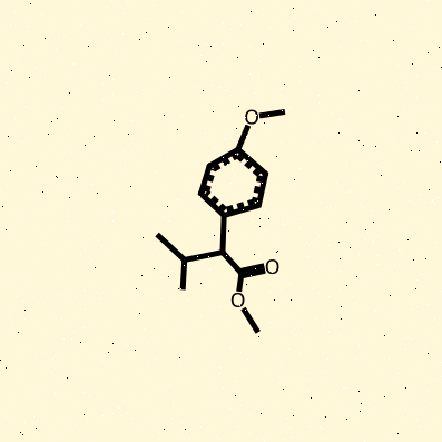 COC(=O)C(c1ccc(OC)cc1)C(C)C